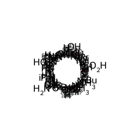 CCCC[C@H]1C(=O)N2CCCC[C@@H]2C(=O)N[C@@H](CC(=O)O)C(=O)N[C@@H](C(C)C)C(=O)N(C)[C@@H](Cc2ccccc2)C(=O)N[C@@H](Cc2ccc(O)cc2)C(=O)N(C)CC(=O)N[C@@H](Cc2c[nH]c3ccccc23)C(=O)N[C@@H](Cc2ccc(O)cc2)C(=O)N[C@@H](CC(C)C)C(=O)N[C@H](C(=O)NCC(N)=O)CSCC(=O)N[C@@H](Cc2ccccc2)C(=O)N(C)[C@@H](Cc2ccccc2)C(=O)N1C